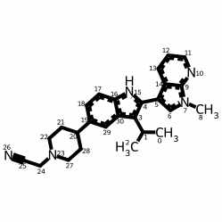 CC(C)c1c(-c2cn(C)c3ncccc23)[nH]c2ccc(C3CCN(CC#N)CC3)cc12